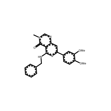 COc1ccc(-c2cc3ncn(C)c(=O)c3c(NCc3ccccc3)n2)cc1OC